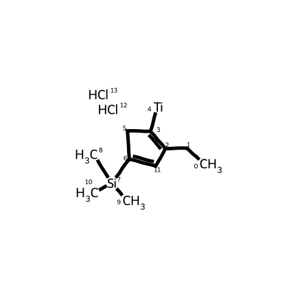 CCC1=[C]([Ti])CC([Si](C)(C)C)=C1.Cl.Cl